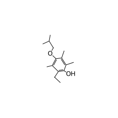 CCc1c(C)c(OCC(C)C)c(C)c(C)c1O